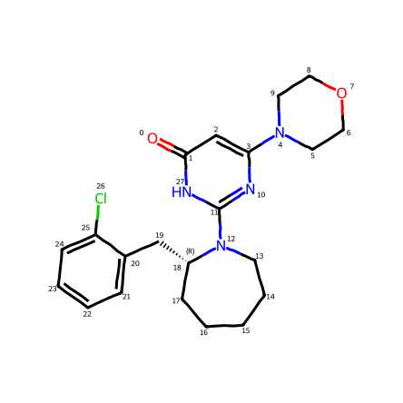 O=c1cc(N2CCOCC2)nc(N2CCCCC[C@@H]2Cc2ccccc2Cl)[nH]1